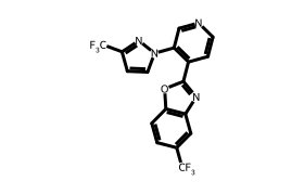 FC(F)(F)c1ccc2oc(-c3ccncc3-n3ccc(C(F)(F)F)n3)nc2c1